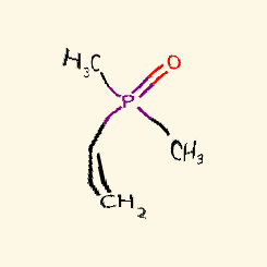 C=CP(C)(C)=O